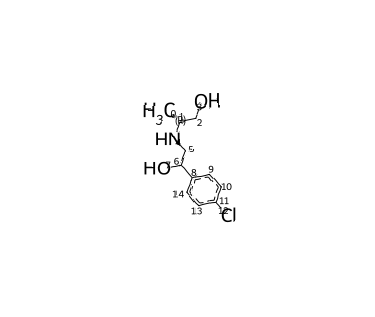 C[C@H](CO)NCC(O)c1ccc(Cl)cc1